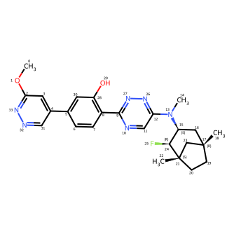 COc1cc(-c2ccc(-c3ncc(N(C)[C@H]4C[C@]5(C)CC[C@@](C)(C5)[C@H]4F)nn3)c(O)c2)cnn1